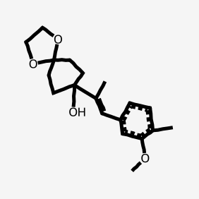 COc1cc(/C=C(\C)C2(O)CCC3(CC2)OCCO3)ccc1C